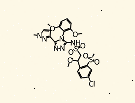 COc1cccc(OC)c1-n1c(NS(=O)(=O)CC(OC)c2ccc(Cl)cc2S(C)(=O)=O)nnc1-c1ccn(C)n1